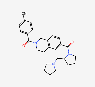 N#Cc1ccc(C(=O)N2CCc3cc(C(=O)N4CCC[C@H]4CN4CCCC4)ccc3C2)cc1